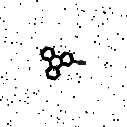 CC(C)(C)c1ccc2c3ccccc3c3ccccc3c2c1